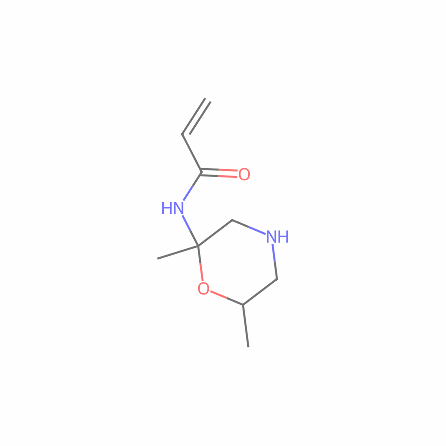 C=CC(=O)NC1(C)CNCC(C)O1